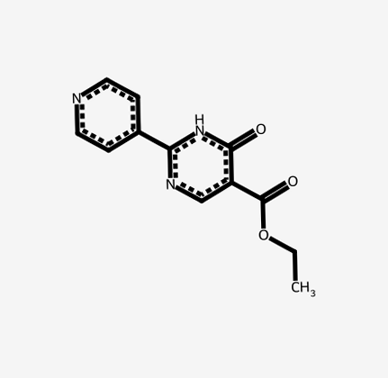 CCOC(=O)c1cnc(-c2ccncc2)[nH]c1=O